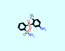 Cc1ccc(N)cc1S(=O)(=O)c1ccccc1S(N)(=O)=O